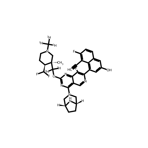 [2H]C([2H])([2H])N1CC[C@H](C(F)F)[C@](C)(C([2H])([2H])Oc2nc(N3C[C@H]4CC[C@@H](C3)N4)c3cnc(-c4cc(O)cc5ccc(F)c(C#C)c45)c(F)c3n2)C1